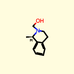 C[C@@H]1c2ccccc2CCN1CO